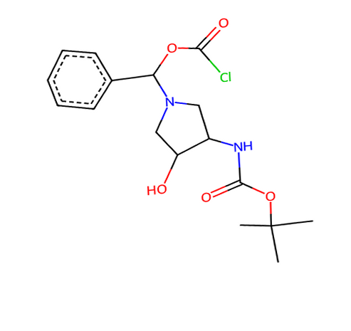 CC(C)(C)OC(=O)NC1CN(C(OC(=O)Cl)c2ccccc2)CC1O